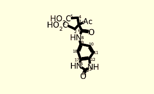 CC(=O)C(CC(=O)O)(CC(=O)O)C(=O)Nc1ccc2[nH]c(=O)[nH]c2c1